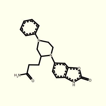 NC(=O)CCC1CN(c2ccccc2)CCN1c1ccc2[nH]c(=O)oc2c1